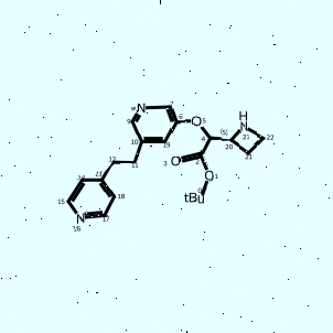 CC(C)(C)OC(=O)C(Oc1cncc(CCc2ccncc2)c1)[C@@H]1CCN1